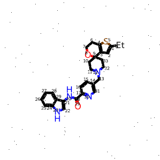 CCc1cc2c(s1)CCOC21CCN(Cc2ccc(C(=O)Nc3c[nH]c4ccccc34)nc2)CC1